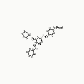 CCCCCc1ccc(OCc2cc(OCc3ccccc3)c(OCc3ccccc3)nn2)cc1